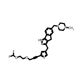 CN1CCN(Cc2ccc3c(c2)Cc2c(Cc4csc(C#CCOCCOC(F)F)c4)n[nH]c2-3)CC1